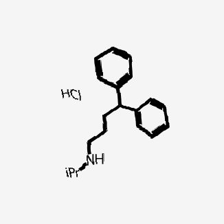 CC(C)NCCCC(c1ccccc1)c1ccccc1.Cl